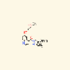 C=C(CNC(=O)c1ccnc2ccc(OCCCBC#N)cc12)OC